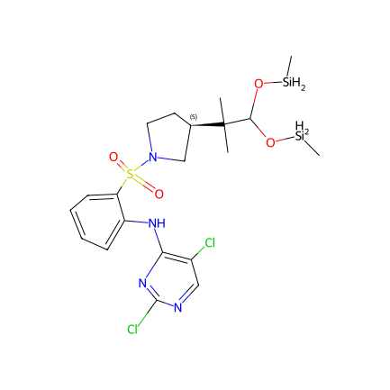 C[SiH2]OC(O[SiH2]C)C(C)(C)[C@@H]1CCN(S(=O)(=O)c2ccccc2Nc2nc(Cl)ncc2Cl)C1